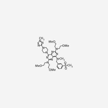 COCCN(CCOC)c1nc(N2CCN(c3ncn(C)n3)CC2)c2nc(N(CCOC)CCOC)nc(N(C)Cc3cccc(S(C)(=O)=O)c3)c2n1